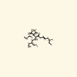 CC[C@H](C)C/C=C/CC(=O)N(NCC(N)CS)[C@@](CCSC)(C(=O)O)C(C)C